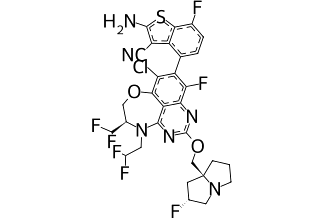 N#Cc1c(N)sc2c(F)ccc(-c3c(Cl)c4c5c(nc(OC[C@@]67CCCN6C[C@H](F)C7)nc5c3F)N(CC(F)F)[C@@H](C(F)F)CO4)c12